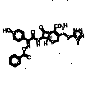 Cn1nnnc1SCC1=C(C(=O)O)N2C(=O)C(NC(=O)C(=NOC(=O)c3ccccc3)c3ccc(O)cc3)[C@@H]2SC1